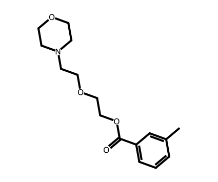 Cc1cccc(C(=O)OCCOCCN2CCOCC2)c1